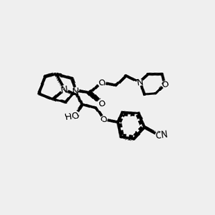 N#Cc1ccc(OCC(O)CN2C3CCC2CN(C(=O)OCCN2CCOCC2)C3)cc1